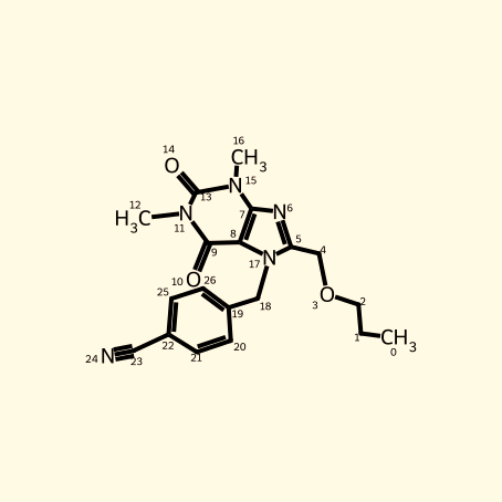 CCCOCc1nc2c(c(=O)n(C)c(=O)n2C)n1Cc1ccc(C#N)cc1